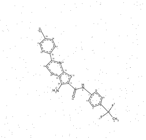 CC(F)(F)c1ccc(NC(=O)c2sc3nc(-c4ccc(Cl)cc4)ccc3c2N)cc1